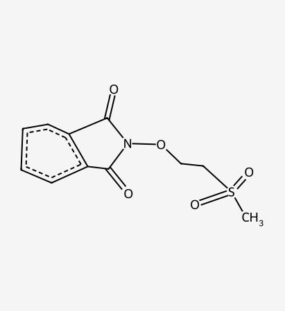 CS(=O)(=O)CCON1C(=O)c2ccccc2C1=O